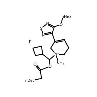 CCCCCCCCCCCC(=O)OC(C1CCC1)[N+]1(C)CCC=C(c2nsnc2OCCCCCC)C1.[I-]